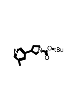 Cc1cncc(C2CCN(C(=O)OC(C)(C)C)C2)c1